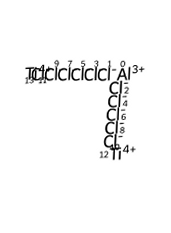 [Al+3].[Cl-].[Cl-].[Cl-].[Cl-].[Cl-].[Cl-].[Cl-].[Cl-].[Cl-].[Cl-].[Cl-].[Ti+4].[Ti+4]